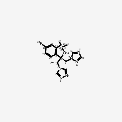 C[C@@H](n1cnnc1)[C@@](Cn1cncn1)(O[Si](C)(C)C)c1ccc(F)cc1F